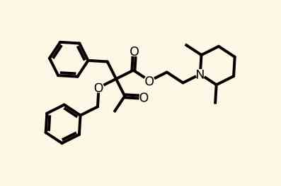 CC(=O)C(Cc1ccccc1)(OCc1ccccc1)C(=O)OCCN1C(C)CCCC1C